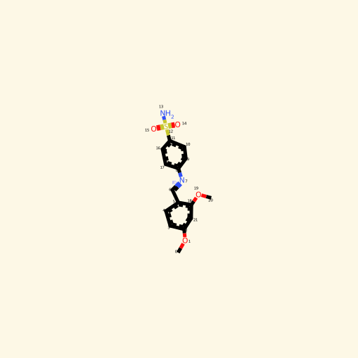 COc1ccc(/C=N/c2ccc(S(N)(=O)=O)cc2)c(OC)c1